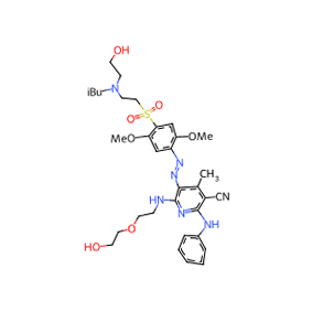 CCC(C)N(CCO)CCS(=O)(=O)c1cc(OC)c(/N=N/c2c(NCCOCCO)nc(Nc3ccccc3)c(C#N)c2C)cc1OC